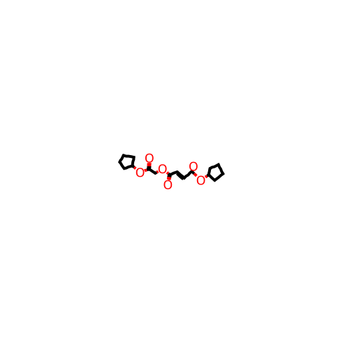 O=C(/C=C/C(=O)OC1CCCC1)OCC(=O)OC1CCCC1